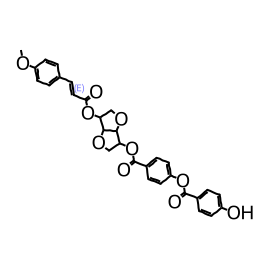 COc1ccc(/C=C/C(=O)OC2COC3C(OC(=O)c4ccc(OC(=O)c5ccc(O)cc5)cc4)COC23)cc1